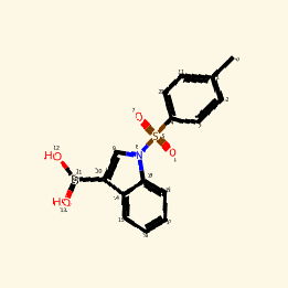 Cc1ccc(S(=O)(=O)n2cc(B(O)O)c3ccccc32)cc1